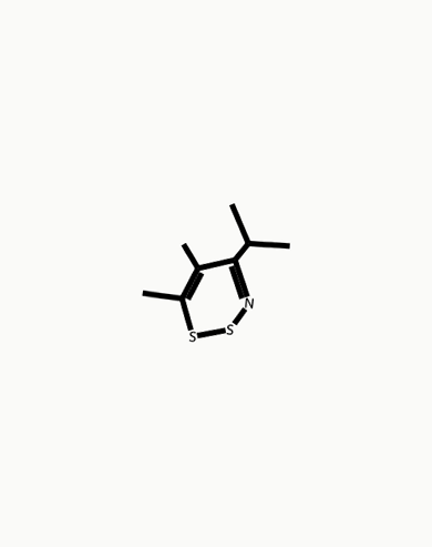 CC1=C(C)C(C(C)C)=NSS1